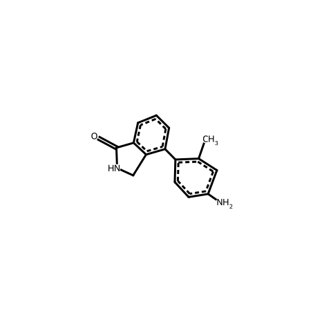 Cc1cc(N)ccc1-c1cccc2c1CNC2=O